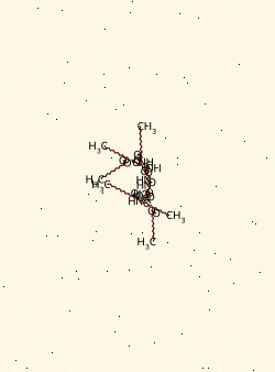 CCCCCCCCCCCC(=O)CC(=O)N[C@H](COCC[C@@H](CCCCCCC)OC(=O)CCCCCCCCCCC)COP(=O)(O)OCCNC(=O)NCCOP(=O)(O)OC[C@@H](COCC[C@@H](CCCCCCCCCCC)OC(=O)CCCCCCCCCCC)NC(=O)CC(=O)CCCCCCCCCCC